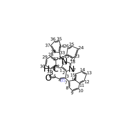 Cc1c(/C(=C\C=O)c2cccc3ccccc23)ncn1C(c1ccccc1)(c1ccccc1)c1ccccc1